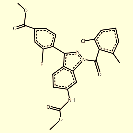 COC(=O)Nc1ccc2c(-c3ccc(C(=O)OC)cc3F)nn(C(=O)c3c(C)cccc3Cl)c2c1